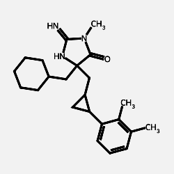 Cc1cccc(C2CC2CC2(CC3CCCCC3)NC(=N)N(C)C2=O)c1C